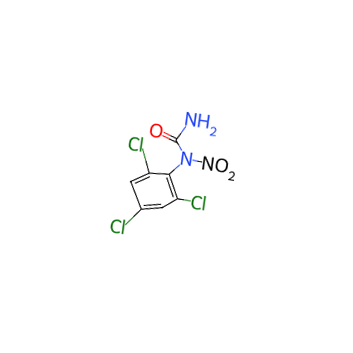 NC(=O)N(c1c(Cl)cc(Cl)cc1Cl)[N+](=O)[O-]